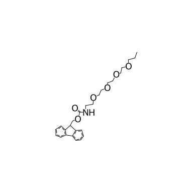 CCCOCCOCCOCCOCCNC(=O)OCC1c2ccccc2-c2ccccc21